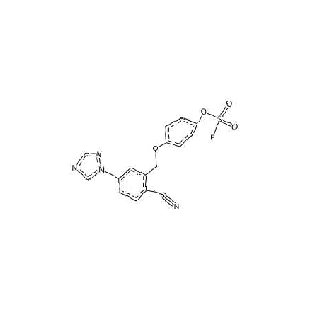 N#Cc1ccc(-n2cncn2)cc1COc1ccc(OS(=O)(=O)F)cc1